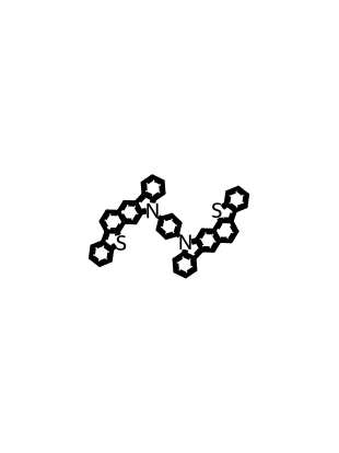 c1ccc2c(c1)sc1c3cc4c(cc3ccc21)c1ccccc1n4-c1ccc(-n2c3ccccc3c3cc4ccc5c6ccccc6sc5c4cc32)cc1